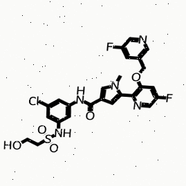 Cn1cc(C(=O)Nc2cc(Cl)cc(NS(=O)(=O)CCO)c2)cc1-c1ncc(F)cc1OCc1cncc(F)c1